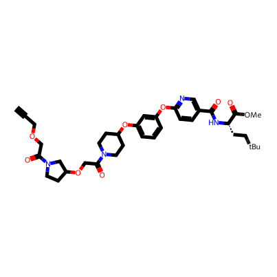 C#CCOCC(=O)N1CCC(OCC(=O)N2CCC(Oc3cccc(Oc4ccc(C(=O)N[C@@H](CCC(C)(C)C)C(=O)OC)cn4)c3)CC2)C1